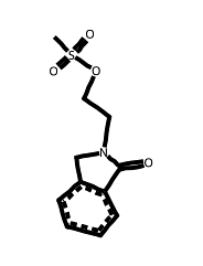 CS(=O)(=O)OCCN1Cc2ccccc2C1=O